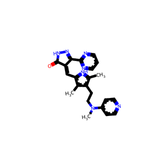 Cc1[nH]c(/C=C2/C(=O)NN=C2c2ncccn2)c(C)c1CCN(C)c1ccncc1